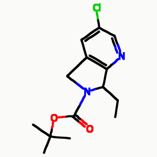 CCC1c2ncc(Cl)cc2CN1C(=O)OC(C)(C)C